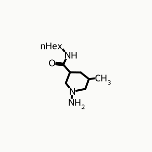 CCCCCCNC(=O)C1CC(C)CN(N)C1